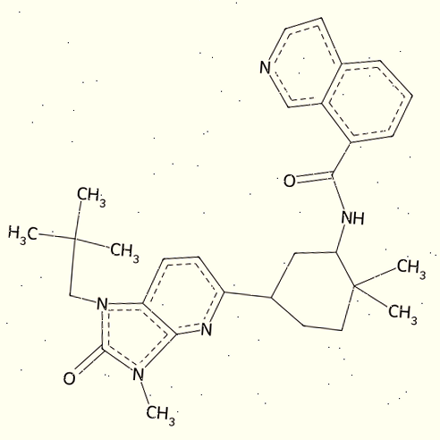 Cn1c(=O)n(CC(C)(C)C)c2ccc(C3CCC(C)(C)C(NC(=O)c4cccc5ccncc45)C3)nc21